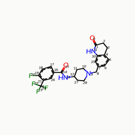 O=C1CCc2ccc(CN3CCC(NC(=O)c4ccc(F)c(C(F)(F)F)c4)CC3)cc2N1